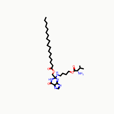 CCCCCCCCCCCCCCCCCC(=O)OCC1(NCCCCOC(=O)[C@@H](N)C(C)C)N=C2N=CN=C2C(=O)N1